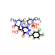 CCN1CC(C)n2c(c(O)c3c(=O)n(Cc4ccc(F)c(Cl)c4)nc(N4CCN(C)S4(O)O)c32)C1=O